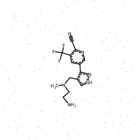 CN(CCN)Cc1c[nH]nc1-c1cnc(C#N)c(C(F)(F)F)c1